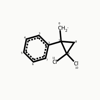 [CH2]C1(c2ccccc2)CC1(Cl)Cl